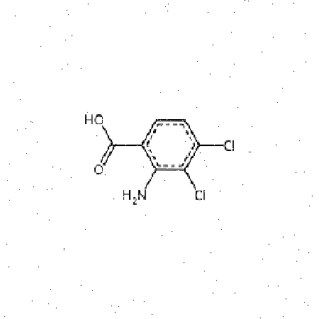 Nc1c(C(=O)O)ccc(Cl)c1Cl